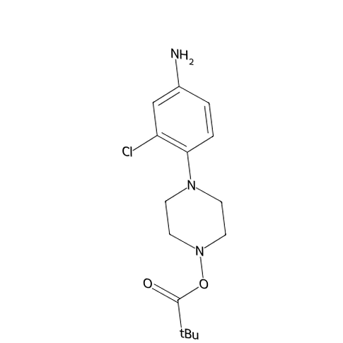 CC(C)(C)C(=O)ON1CCN(c2ccc(N)cc2Cl)CC1